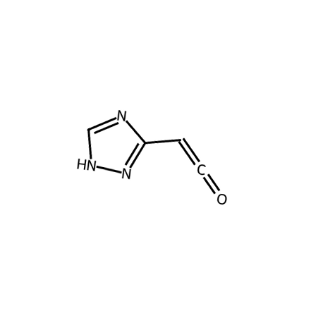 O=C=Cc1nc[nH]n1